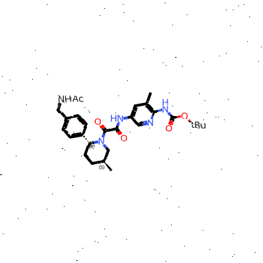 CC(=O)NCc1ccc([C@H]2CC[C@H](C)CN2C(=O)C(=O)Nc2cnc(NC(=O)OC(C)(C)C)c(C)c2)cc1